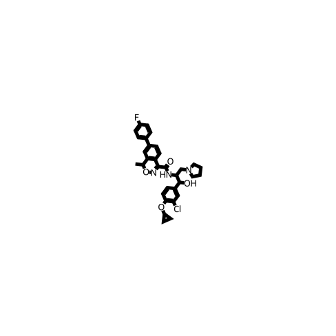 CC1ON=C(C(=O)NC(CN2CCCC2)C(O)c2ccc(OC3CC3)c(Cl)c2)c2ccc(-c3ccc(F)cc3)cc21